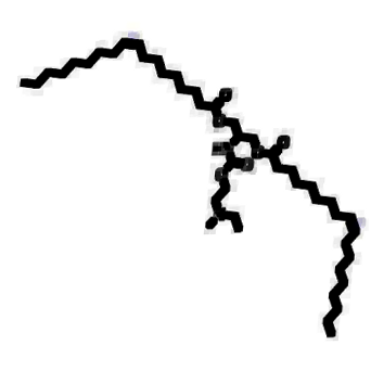 CCCCCCCC/C=C\CCCCCCCC(=O)OCC(COC(=O)CCCCCCC/C=C\CCCCCCCC)NC(=O)OCCN(C)CC